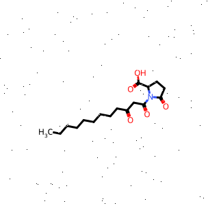 CCCCCCCCCC(=O)CC(=O)N1C(=O)CCC1C(=O)O